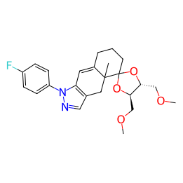 COC[C@H]1OC2(CCCC3=Cc4c(cnn4-c4ccc(F)cc4)CC32C)O[C@@H]1COC